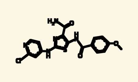 COc1ccc(C(=O)Nc2sc(Nc3ccnc(Cl)c3)nc2C(N)=O)cc1